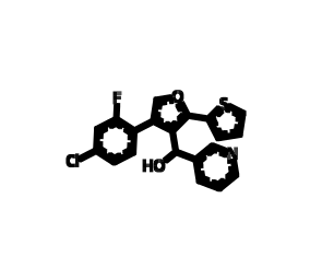 OC(c1cccnc1)c1c(-c2ccc(Cl)cc2F)coc1-c1cccs1